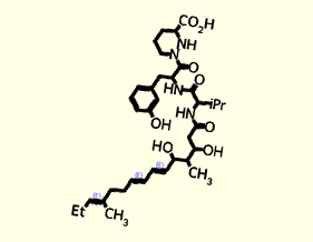 CC/C=C(\C)CC/C=C/C=C/C(O)C(C)C(O)CC(=O)NC(C(=O)NC(Cc1cccc(O)c1)C(=O)N1CCCC(C(=O)O)N1)C(C)C